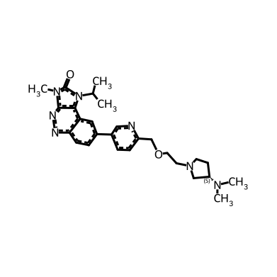 CC(C)n1c(=O)n(C)c2nnc3ccc(-c4ccc(COCCN5CC[C@H](N(C)C)C5)nc4)cc3c21